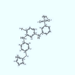 NS(=O)(=O)c1cccc(Nc2ncc(F)c(Nc3ccc(Cc4ncc[nH]4)cc3)n2)c1